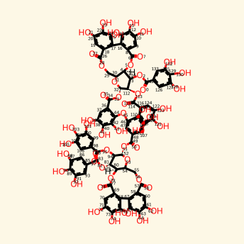 O=C(OC1[C@@H]2OC(=O)c3cc(O)c(O)c(O)c3-c3c(cc(O)c(O)c3O)C(=O)OCC2O[C@@H](OC(=O)c2cc(O)c(O)c(O)c2Oc2cc(C(=O)O[C@@H]3OC4COC(=O)c5cc(O)c(O)c(O)c5-c5c(cc(O)c(O)c5O)C(=O)O[C@H]4[C@H](OC(=O)c4cc(O)c(O)c(O)c4)C3OC(=O)c3cc(O)c(O)c(O)c3)cc(O)c2O)[C@@H]1OC(=O)c1cc(O)c(O)c(O)c1)c1cc(O)c(O)c(O)c1